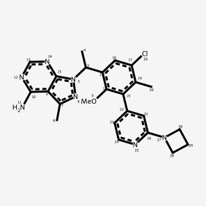 COc1c(C(C)n2nc(C)c3c(N)ncnc32)cc(Cl)c(C)c1-c1ccnc(N2CCC2)c1